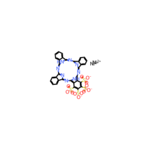 O=S(=O)([O-])c1c(S(=O)(=O)[O-])c(S(=O)(=O)[O-])c2c3nc4nc(nc5[nH]c(nc6nc(nc([nH]3)c2c1S(=O)(=O)[O-])-c1ccccc1-6)c1ccccc51)-c1ccccc1-4.[Ni+2].[Ni+2]